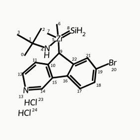 CC(C)(C)[NH][Zr]([CH3])([CH3])(=[SiH2])[CH]1c2ccncc2-c2ccc(Br)cc21.Cl.Cl